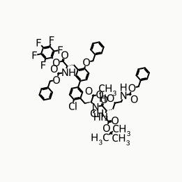 COC(=O)[C@H](Cc1cc(-c2ccc(OCc3ccccc3)c(C[C@H](NC(=O)OCc3ccccc3)C(=O)Oc3c(F)c(F)c(F)c(F)c3F)c2)ccc1Cl)N(C)C(=O)[C@H](C[C@@H](O)CNC(=O)OCc1ccccc1)NC(=O)OC(C)(C)C